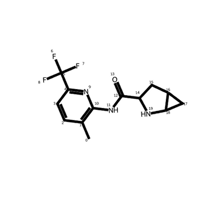 Cc1ccc(C(F)(F)F)nc1NC(=O)C1CC2CC2N1